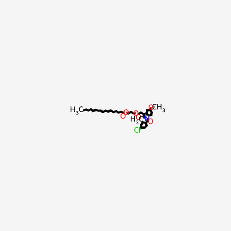 CCCCCC=CCC=CCC=CCCCCC(=O)OCCCOC(=O)Cc1c(C)n(C(=O)c2ccc(Cl)cc2)c2ccc(OC)cc12